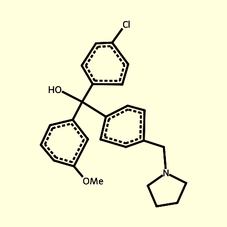 COc1cccc(C(O)(c2ccc(Cl)cc2)c2ccc(CN3CCCC3)cc2)c1